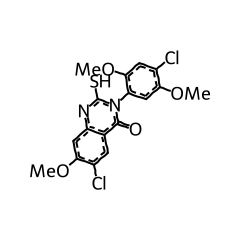 COc1cc(-n2c(S)nc3cc(OC)c(Cl)cc3c2=O)c(OC)cc1Cl